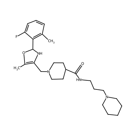 CC1=C(CN2CCC(C(=O)NCCCN3CCCCC3)CC2)NC(c2c(C)cccc2F)O1